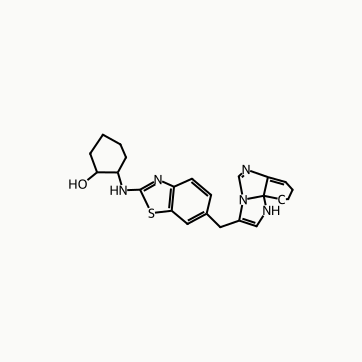 OC1CCCCC1Nc1nc2ccc(CC3=CNC45CCCC=C4N=CN35)cc2s1